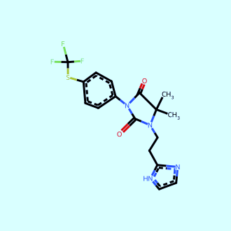 CC1(C)C(=O)N(c2ccc(SC(F)(F)F)cc2)C(=O)N1CCc1ncc[nH]1